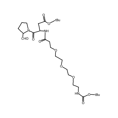 CC(C)(C)OC(=O)CC(NC(=O)CCOCCOCCOCCNC(=O)OC(C)(C)C)C(=O)N1CCCC1C=O